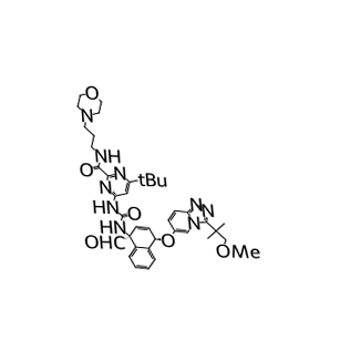 COCC(C)(C)c1nnc2ccc(O[C@@H]3C=C[C@](C=O)(NC(=O)Nc4cc(C(C)(C)C)nc(C(=O)NCCCN5CCOCC5)n4)c4ccccc43)cn12